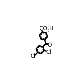 O=C(O)c1ccc(C(=O)c2ccc(Cl)cc2Cl)cc1